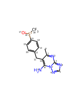 Cc1nc2ncnn2c(N)c1Cc1ccc([S+]([O-])C(F)(F)F)cc1